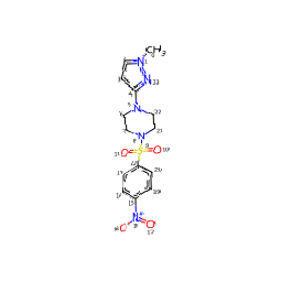 Cn1ccc(N2CCN(S(=O)(=O)c3ccc([N+](=O)[O-])cc3)CC2)n1